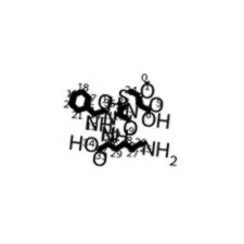 COC1=C(C(=O)O)N2C(=O)[C@@H](NC(=O)[C@H](N)C3=CCC=CC3)[C@H]2SC1.NCCCCC(N)C(=O)O